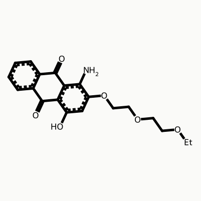 CCOCCOCCOc1cc(O)c2c(c1N)C(=O)c1ccccc1C2=O